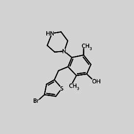 Cc1cc(O)c(C)c(Cc2cc(Br)cs2)c1N1CCNCC1